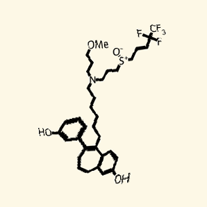 COCCCN(CCCCCCC1=C(c2cccc(O)c2)CCCc2cc(O)ccc21)CCC[S+]([O-])CCCC(F)(F)C(F)(F)F